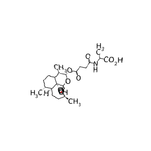 CC(NC(=O)CCC(=O)O[C@@H]1O[C@@H]2O[C@@]3(C)CC[C@H]4[C@H](C)CCC(C1C)[C@@]24OO3)C(=O)O